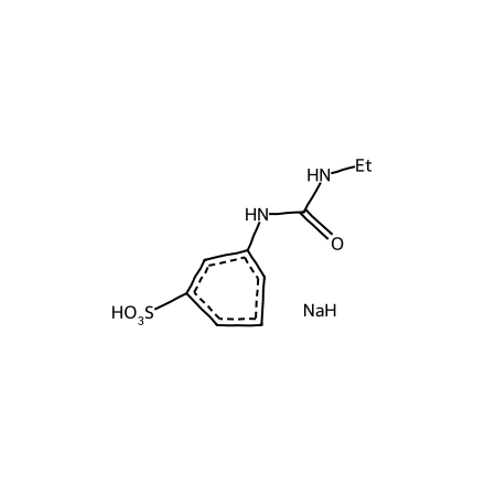 CCNC(=O)Nc1cccc(S(=O)(=O)O)c1.[NaH]